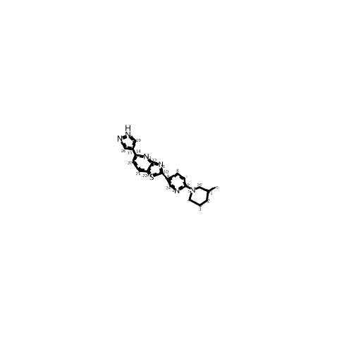 CC1CCCN(c2ccc(-c3nc4nc(-c5cn[nH]c5)ccc4s3)cn2)C1